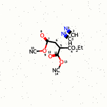 C#N.C#N.CCOC(=O)C(CC(=O)OC#N)C(=O)OC#N